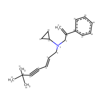 C=C(CN(CC=CC#CC(C)(C)C)C1CC1)c1ccccc1